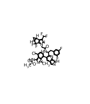 Cn1nc(NS(C)(=O)=O)c2c(Cl)ccc(-c3cc4cn[nH]c4nc3C(Cc3cc(F)cc(F)c3)NC(=O)Cn3nc(C(F)F)c4c3C(F)(F)[C@@H]3C[C@H]43)c21